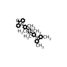 Cc1ccc2c(c1)c1cc(C)ccc1n2-c1cc(C)c(-c2nnc(-c3c(C)cc(-n4c5ccccc5c(=O)c5ccccc54)cc3C)nn2)c(C)c1